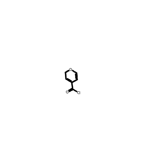 O=C(Cl)C1=CCOC=C1